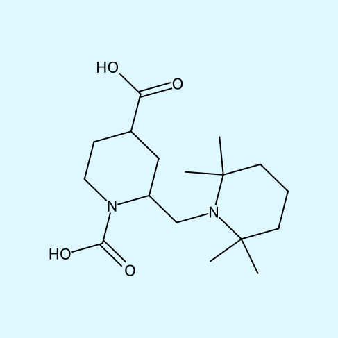 CC1(C)CCCC(C)(C)N1CC1CC(C(=O)O)CCN1C(=O)O